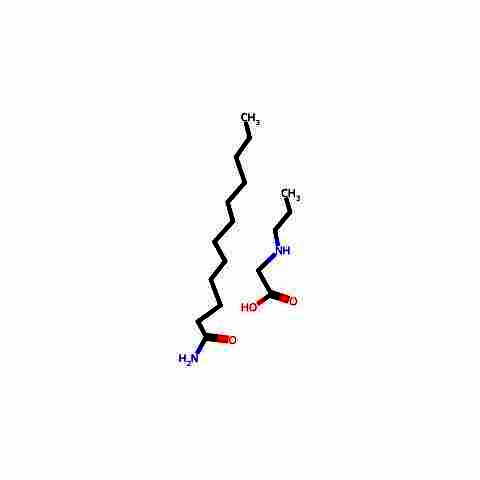 CCCCCCCCCCCC(N)=O.CCCNCC(=O)O